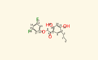 CCCc1cc(C(=O)COc2cc(F)cc(F)c2)c(O)cc1O